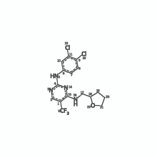 FC(F)(F)c1cnc(Nc2ccc(Cl)c(Cl)c2)nc1NCC1CCCO1